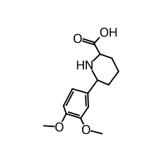 COc1ccc(C2CCCC(C(=O)O)N2)cc1OC